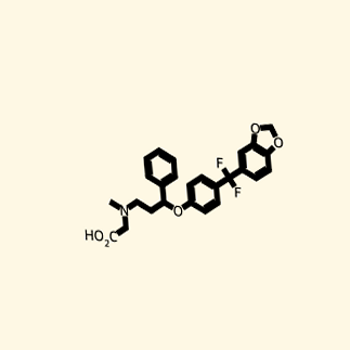 CN(CCC(Oc1ccc(C(F)(F)c2ccc3c(c2)OCO3)cc1)c1ccccc1)CC(=O)O